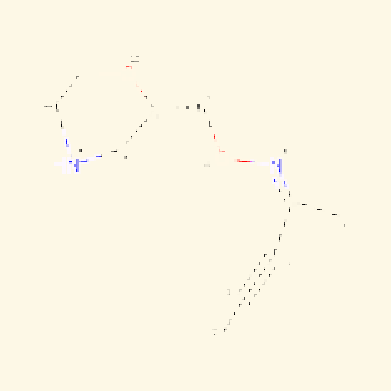 CC#C/C(C)=N\OC[C@@H]1CNCCO1